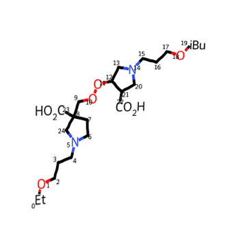 CCOCCCN1CCC(COOC2CN(CCCOC(C)CC)CC2C(=O)O)(C(=O)O)C1